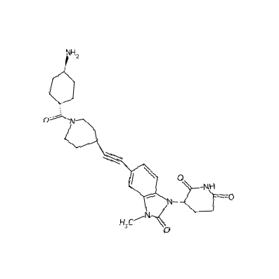 Cn1c(=O)n(C2CCC(=O)NC2=O)c2ccc(C#CC3CCN(C(=O)[C@H]4CC[C@H](N)CC4)CC3)cc21